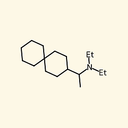 CCN(CC)C(C)C1CCC2(CCCCC2)CC1